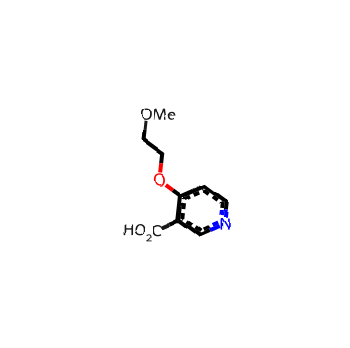 COCCOc1ccncc1C(=O)O